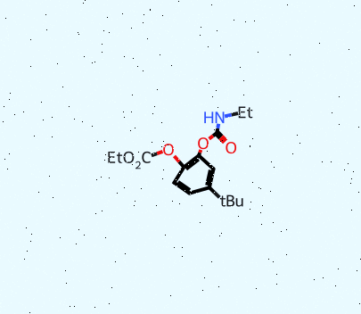 CCNC(=O)Oc1cc(C(C)(C)C)ccc1OC(=O)OCC